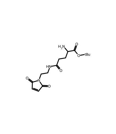 CC(C)(C)OC(=O)C(N)CCC(=O)NCCN1C(=O)C=CC1=O